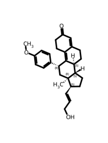 COc1ccc([C@H]2C[C@]3(C)[C@H](C=CCO)CC[C@H]3[C@@H]3CCC4=CC(=O)CCC4=C32)cc1